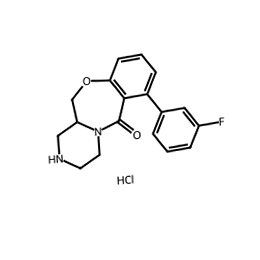 Cl.O=C1c2c(cccc2-c2cccc(F)c2)OCC2CNCCN12